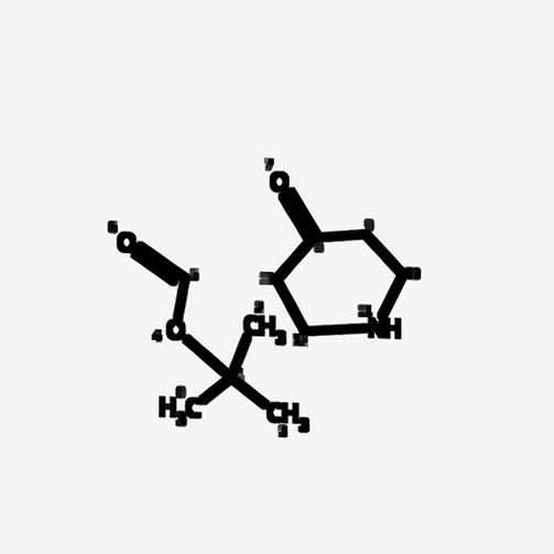 CC(C)(C)OC=O.O=C1CCNCC1